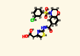 O=C(O)Cc1csc(NC(=O)c2ccc3c(c2)N(S(=O)(=O)c2cccc(Cl)c2)CCO3)n1